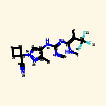 C=N/C(=N\C(NC)=C(/C)C(F)(F)F)Nc1cn(C2(C#N)CCC2)nc1C